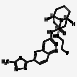 Cc1nnc(-c2ccc3nnc(NC(=O)N4[C@@H]5CCC[C@H]4C[C@@H](NCCF)C5)cc3c2)s1